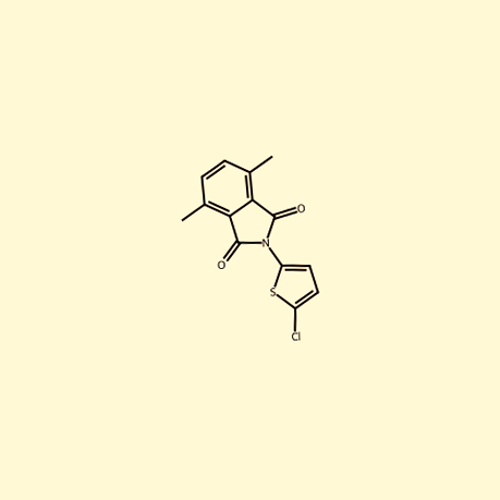 Cc1ccc(C)c2c1C(=O)N(c1ccc(Cl)s1)C2=O